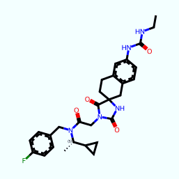 CCNC(=O)Nc1ccc2c(c1)CCC1(C2)NC(=O)N(CC(=O)N(Cc2ccc(F)cc2)[C@@H](C)C2CC2)C1=O